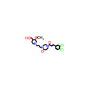 COC1CN(CCCN2CCN(C(=O)/C=C/c3ccc(Cl)c(Cl)c3)CCC2=O)CCC1CO